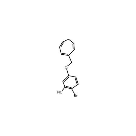 N#Cc1cc(OCC2=CC=CCC=C2)ccc1Br